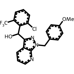 COc1ccc(Cn2nc(C(O)c3c(Cl)cccc3C(F)(F)F)c3cccnc32)cc1